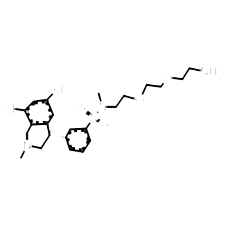 CN1Cc2c(Cl)cc(Cl)cc2[C@H](c2cccc(S(=O)(=O)N(C)CCOCCOCCN)c2)C1